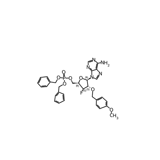 COc1ccc(CO[C@@H]2[C@@H](F)[C@@H](COP(=O)(OCc3ccccc3)OCc3ccccc3)O[C@H]2n2cnc3c(N)ncnc32)cc1